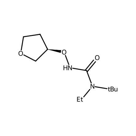 CCN(C(=O)NO[C@@H]1CCOC1)C(C)(C)C